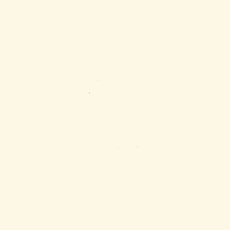 CC1(C)OC(C/C=C/[Si](C)(C)C)OC1(C)C